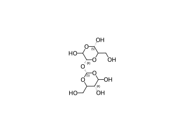 OCC1O[C@H](O[C@H]2OC(CO)[C@@H](O)OC2O)OC(O)[C@@H]1O